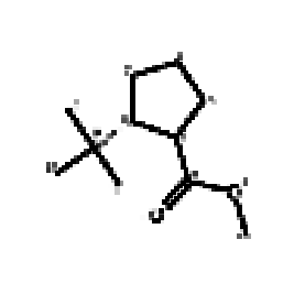 COC(=O)C1CCC[C@H]1C(C)(C)C